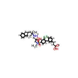 CN(C[C@H](O)CNC(C)(C)CC1Cc2ccccc2C1)S(=O)(=O)c1ccc(-c2cc(CCC(=O)O)ccc2F)c(F)c1